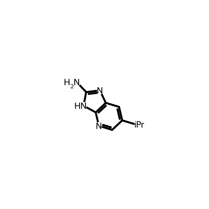 CC(C)c1cnc2[nH]c(N)nc2c1